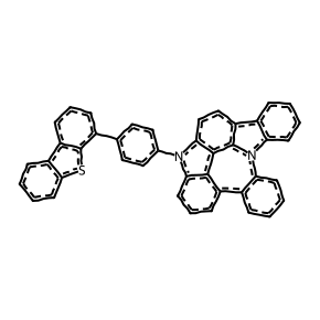 c1ccc2c(c1)sc1c(-c3ccc(-n4c5cccc6c7ccccc7n7c8ccccc8c8ccc4c(c65)c87)cc3)cccc12